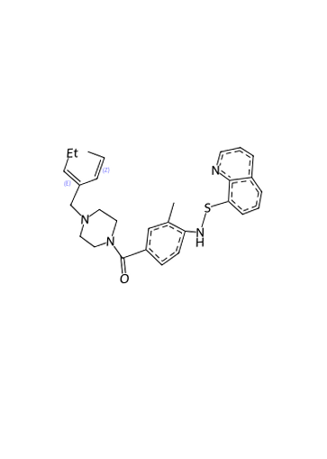 C/C=C\C(=C/CC)CN1CCN(C(=O)c2ccc(NSc3cccc4cccnc34)c(C)c2)CC1